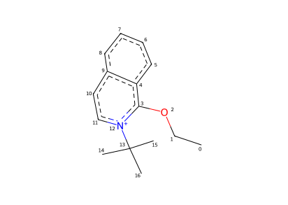 CCOc1c2ccccc2cc[n+]1C(C)(C)C